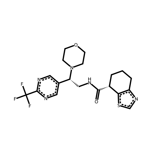 O=C(NC[C@H](c1cnc(C(F)(F)F)nc1)N1CCOCC1)[C@@H]1CCCc2ncsc21